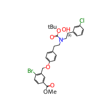 COC(=O)c1ccc(Br)c(COc2ccc(CCN(C[C@H](O)c3cccc(Cl)c3)C(=O)OC(C)(C)C)cc2)c1